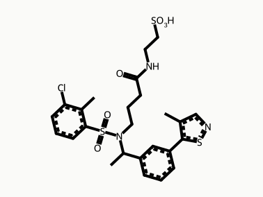 Cc1cnsc1-c1cccc(C(C)N(CCCC(=O)NCCS(=O)(=O)O)S(=O)(=O)c2cccc(Cl)c2C)c1